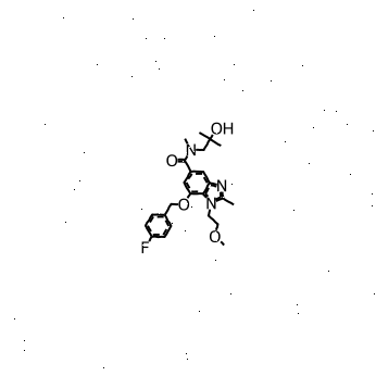 COCCn1c(C)nc2cc(C(=O)N(C)CC(C)(C)O)cc(OCc3ccc(F)cc3)c21